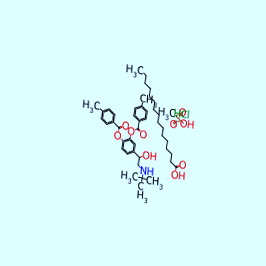 CCCCCCCCCCCCCCCC(=O)O.CS(=O)(=O)O.Cc1ccc(C(=O)Oc2ccc(C(O)CNC(C)(C)C)cc2OC(=O)c2ccc(C)cc2)cc1.Cl